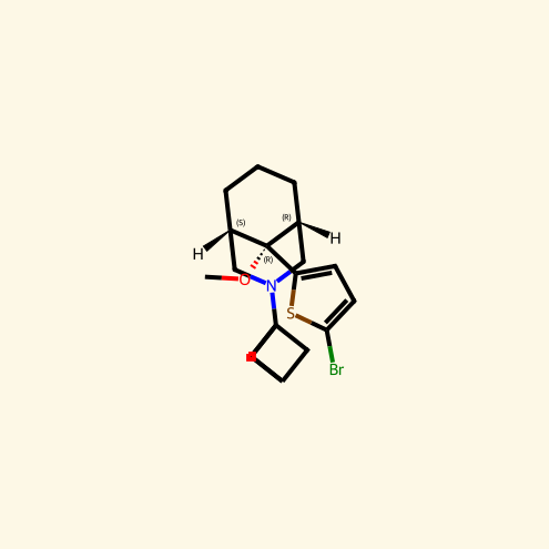 CO[C@@]1(c2ccc(Br)s2)[C@@H]2CCC[C@H]1CN(C13CC(C1)C3)C2